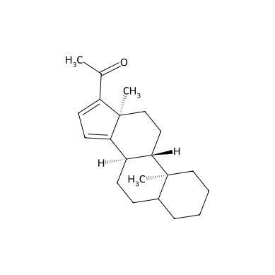 CC(=O)C1=CC=C2[C@@H]3CCC4CCCC[C@]4(C)[C@H]3CC[C@]12C